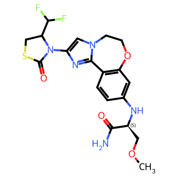 COC[C@H](Nc1ccc2c(c1)OCCn1cc(N3C(=O)SCC3C(F)F)nc1-2)C(N)=O